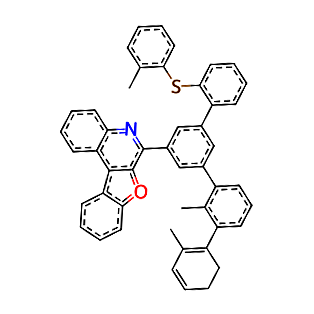 CC1=C(c2cccc(-c3cc(-c4ccccc4Sc4ccccc4C)cc(-c4nc5ccccc5c5c4oc4ccccc45)c3)c2C)CCC=C1